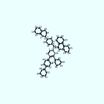 C1=CC(N(c2ccc(-c3ccc4ccccc4c3)cc2)c2cc3ccccc3c3ccccc23)CC(c2ccccc2)=C1c1ccc(-c2ccccc2)cc1